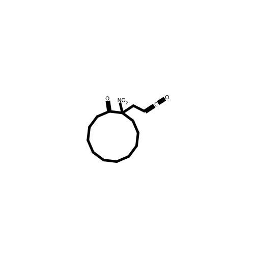 O=C=CCC1([N+](=O)[O-])CCCCCCCCCCC1=O